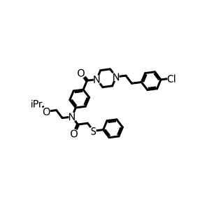 CC(C)OCCN(C(=O)CSc1ccccc1)c1ccc(C(=O)N2CCN(CCc3ccc(Cl)cc3)CC2)cc1